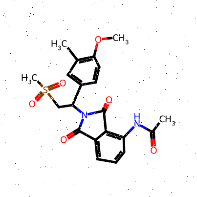 COc1ccc(C(CS(C)(=O)=O)N2C(=O)c3cccc(NC(C)=O)c3C2=O)cc1C